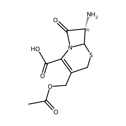 CC(=O)OCC1=C(C(=O)O)N2C(=O)[C@H](N)C2SC1